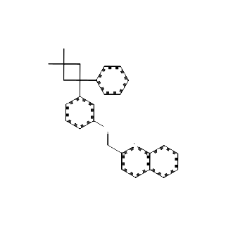 CC1(C)CC(c2ccccc2)(c2cccc(OCc3ccc4ccccc4n3)c2)C1